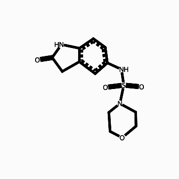 O=C1Cc2cc(NS(=O)(=O)N3CCOCC3)ccc2N1